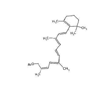 CC(=O)OCC(C)=CC=C(C)C=CC=C(C)C=CC1=C(C)CCCC1(C)C